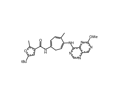 COc1ncc2ncnc(NC3=CCC(NC(=O)c4cc(C(C)(C)C)oc4C)=CC=C3C)c2n1